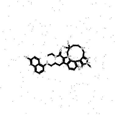 CCOC(=O)c1c(CCCOc2cccc3cc(F)ccc23)c2ccc(Cl)c3c2n1CC(F)(F)CCOCc1nn(C)c(C)c1-3